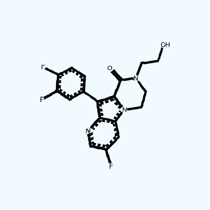 O=C1c2c(-c3ccc(F)c(F)c3)c3ncc(F)cc3n2CCN1CCO